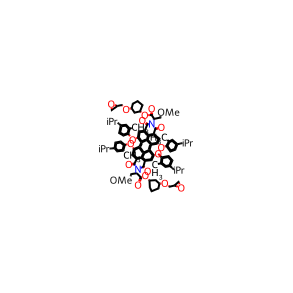 COCC(C(=O)OC1CCCC(OCC2CO2)C1)N1C(=O)c2cc(Oc3ccc(C(C)C)cc3C)c3c4c(Oc5ccc(C(C)C)cc5C)cc5c6c(cc(Oc7ccc(C(C)C)cc7C)c(c7c(Oc8ccc(C(C)C)cc8C)cc(c2c37)C1=O)c64)C(=O)N(C(COC)C(=O)OC1CCCC(OCC2CO2)C1)C5=O